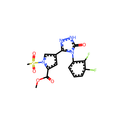 COC(=O)c1cc(-c2n[nH]c(=O)n2-c2cccc(F)c2F)cn1S(C)(=O)=O